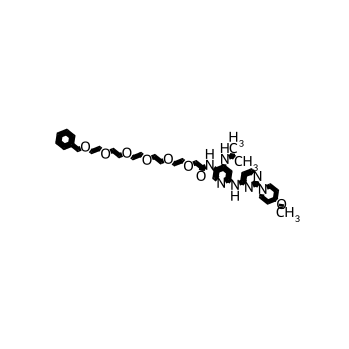 COC1CCN(c2nccc(Nc3cc(NC(C)C)c(NC(=O)COCCOCCOCCOCCOCCOCc4ccccc4)cn3)n2)CC1